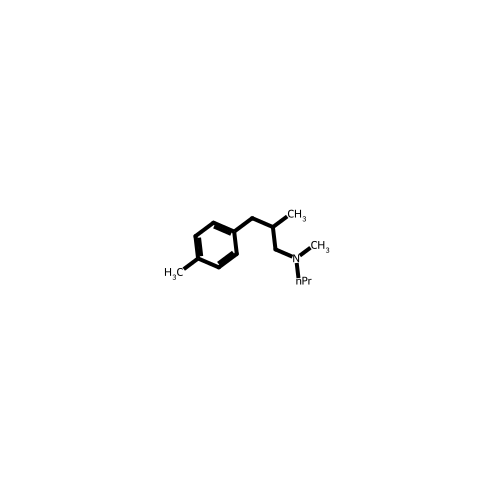 CCCN(C)CC(C)Cc1ccc(C)cc1